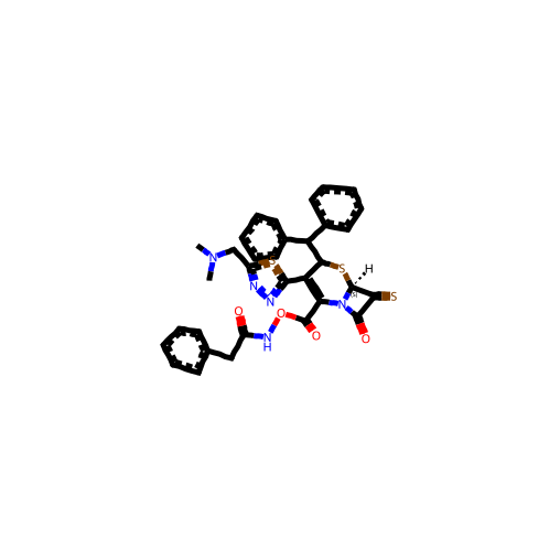 CN(C)Cc1nnc(C2=C(C(=O)ONC(=O)Cc3ccccc3)N3C(=O)C(=S)[C@@H]3SC2C(c2ccccc2)c2ccccc2)s1